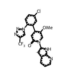 COc1cn(-c2[c]c3cccnc3[nH]2)c(=O)cc1-c1cc(Cl)ccc1-n1cc(C(F)(F)F)nn1